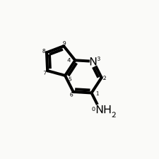 Nc1cnc2c(c1)C=C=C2